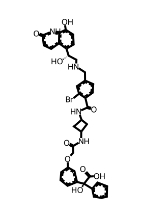 O=C(COc1cccc([C@](O)(C(=O)O)c2ccccc2)c1)NC1CC(NC(=O)c2ccc(CNC[C@H](O)c3ccc(O)c4[nH]c(=O)ccc34)cc2Br)C1